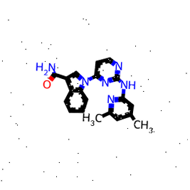 Cc1cc(C)nc(Nc2nccc(-n3cc(C(N)=O)c4ccccc43)n2)c1